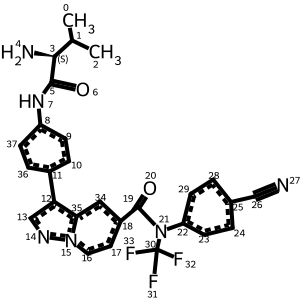 CC(C)[C@H](N)C(=O)Nc1ccc(-c2cnn3ccc(C(=O)N(c4ccc(C#N)cc4)C(F)(F)F)cc23)cc1